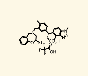 CCC1CN(Cc2cc([C@@H](CC(=O)O)c3ccc4c(nnn4C)c3C)ccc2C)Cc2ccccc2O1.O=C(O)C(F)(F)F